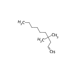 [CH]=CCC(C)(C)CCCCCC